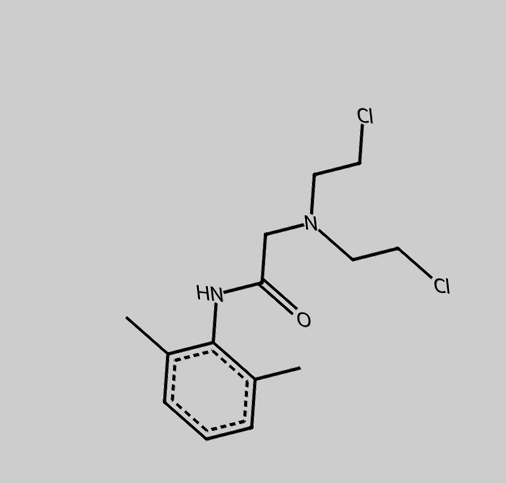 Cc1cccc(C)c1NC(=O)CN(CCCl)CCCl